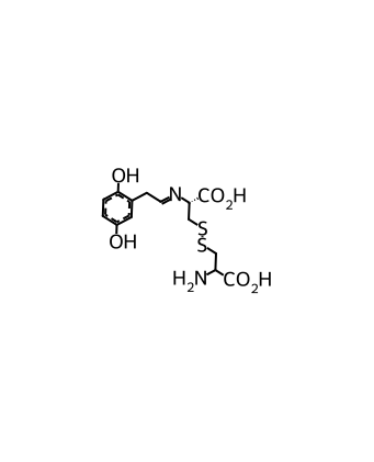 NC(CSSC[C@H](N=CCc1cc(O)ccc1O)C(=O)O)C(=O)O